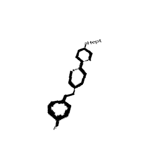 CCCCCCC[C@H]1CC[C@H]([C@H]2CC[C@H](CCc3ccc(F)cc3)CC2)CC1